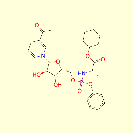 CC(=O)C1=CN([C@@H]2O[C@H](COP(=O)(N[C@@H](C)C(=O)OC3CCCCC3)Oc3ccccc3)[C@@H](O)[C@H]2O)C=CC1